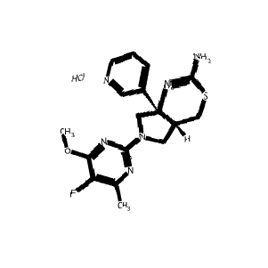 COc1nc(N2C[C@H]3CSC(N)=N[C@@]3(c3cccnc3)C2)nc(C)c1F.Cl